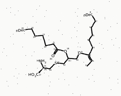 CC=C(CCCCCCCCCCCCCCC)OCC(CSC[C@H](N)C(=O)O)OC(=O)CCCCCCCCCCCCCCC